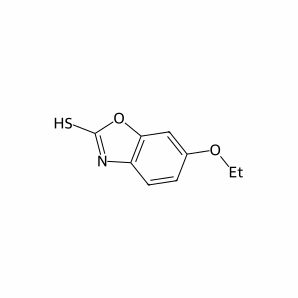 CCOc1ccc2nc(S)oc2c1